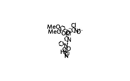 COc1ccc([C@H](Cc2c(Cl)c[n+]([O-])cc2Cl)OC(=O)c2ccc(CN(C(=O)O[C@H]3CN4CCC3CC4)c3ccccc3)nc2)cc1OC